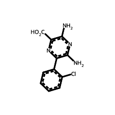 Nc1nc(N)c(-c2ccccc2Cl)nc1C(=O)O